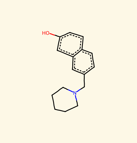 Oc1ccc2ccc(CN3CCCCC3)cc2c1